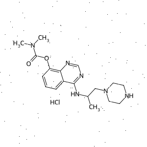 CC(CN1CCNCC1)Nc1ncnc2c(OC(=O)N(C)C)cccc12.Cl